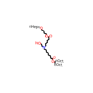 CCCCCCCCC(CCCCCCCC)OC(=O)CCCCCCCN(CCO)CCCCCC(=O)OCCCCOCCCCCCC